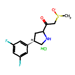 C[S+]([O-])CC(=O)C1C[C@@H](c2cc(F)cc(F)c2)CN1.Cl